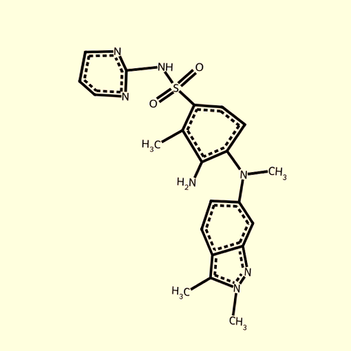 Cc1c(S(=O)(=O)Nc2ncccn2)ccc(N(C)c2ccc3c(C)n(C)nc3c2)c1N